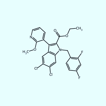 CCOC(=O)c1c(-c2cccnc2OC)c2cc(Cl)c(Cl)cc2n1Cc1ccc(F)cc1F